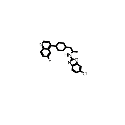 CC(CC1CCC(c2ccnc3ccc(F)cc23)CC1)Nc1nc2ccc(Cl)cc2o1